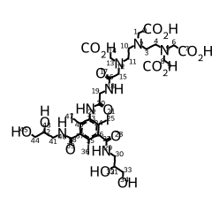 O=C(O)CN(CCN(CC(=O)O)CC(=O)O)CCN(CC(=O)O)CC(=O)NCC(=O)Nc1c(I)c(C(=O)NCC(O)CO)c(I)c(C(=O)NCC(O)CO)c1I